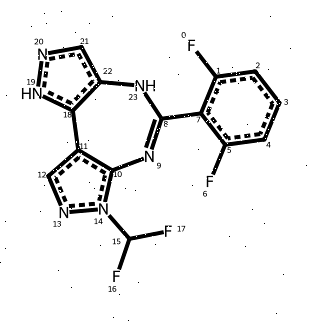 Fc1cccc(F)c1C1=Nc2c(cnn2C(F)F)-c2[nH]ncc2N1